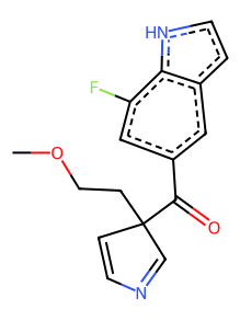 COCCC1(C(=O)c2cc(F)c3[nH]ccc3c2)C=CN=C1